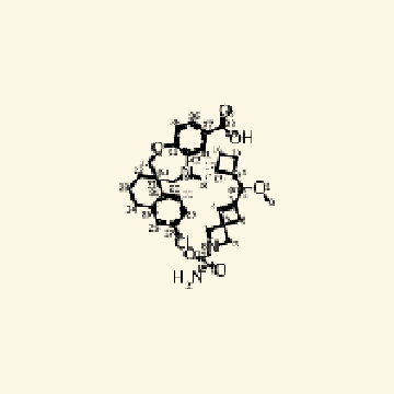 CO[C@@H](C1=CC2(C1)CN(S(N)(=O)=O)C2)[C@@H]1CC[C@H]1CN1C[C@@]2(CCCc3cc(Cl)ccc32)COc2ccc(C(=O)O)cc21